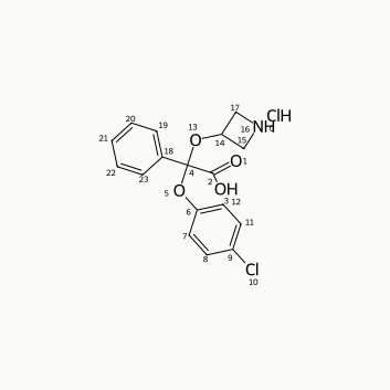 Cl.O=C(O)C(Oc1ccc(Cl)cc1)(OC1CNC1)c1ccccc1